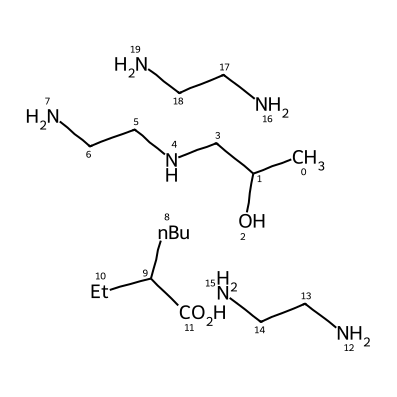 CC(O)CNCCN.CCCCC(CC)C(=O)O.NCCN.NCCN